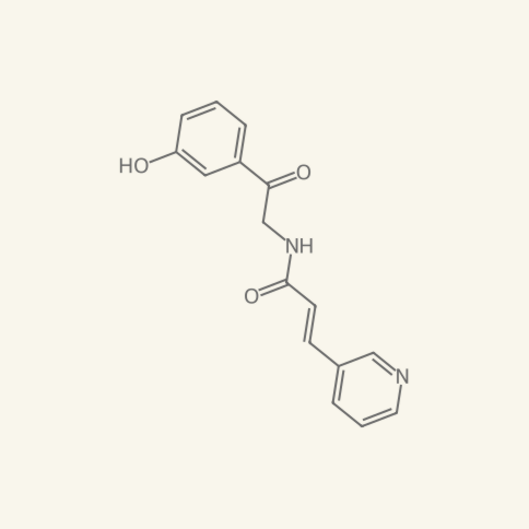 O=C(C=Cc1cccnc1)NCC(=O)c1cccc(O)c1